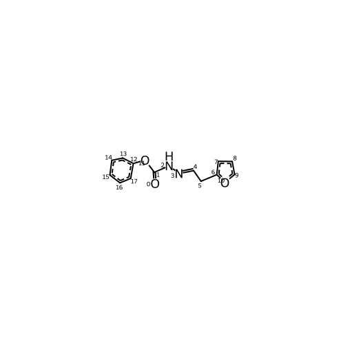 O=C(NN=CCc1ccco1)Oc1ccccc1